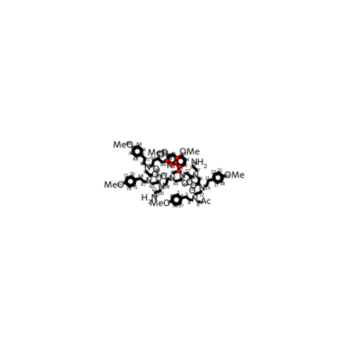 COc1ccc(CCN(CC(C)=O)C(=O)CN(CCc2ccc(OC)cc2)C(=O)CN(CCN)C(=O)CN(CCc2ccc(OC)cc2)C(=O)CN(CCc2ccc(OC)cc2)C(=O)CN(CCN)C(=O)CN(CCc2ccc(OC)cc2)C(=O)CN(CCc2ccc(OC)cc2)C(=O)CC(C)CCN)cc1